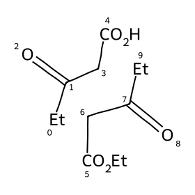 CCC(=O)CC(=O)O.CCOC(=O)CC(=O)CC